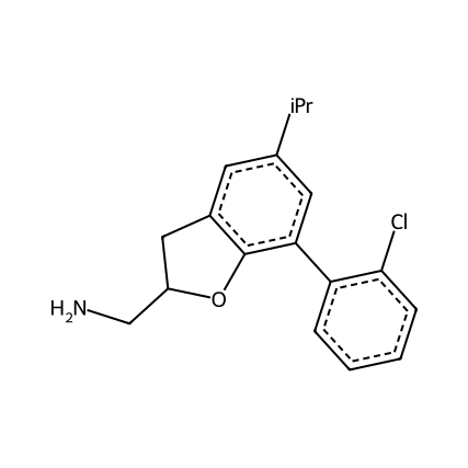 CC(C)c1cc2c(c(-c3ccccc3Cl)c1)OC(CN)C2